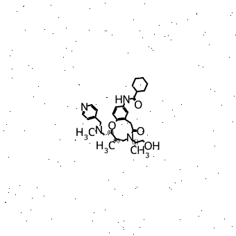 C[C@@H]1CN([C@@H](C)CO)C(=O)Cc2cc(NC(=O)C3CCCCC3)ccc2O[C@H]1CN(C)Cc1ccncc1